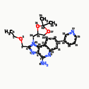 CCOCc1nc2c(N)nc3cc(-c4cccnc4)ccc3c2n1CC1COC(C)(C)O1